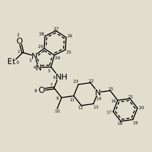 CCC(=O)n1nc(NC(=O)C(C)C2CCN(Cc3ccccc3)CC2)c2ccccc21